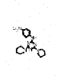 O=[N+]([O-])c1ccc(Nc2nc(N3CCCCC3)nc(N3CCCCC3)n2)cc1